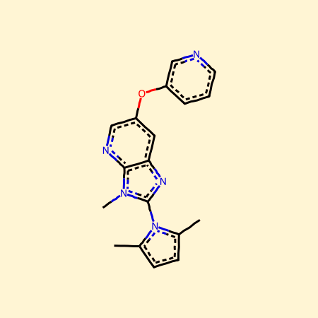 Cc1ccc(C)n1-c1nc2cc(Oc3cccnc3)cnc2n1C